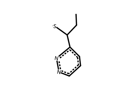 CCC([S])c1cccnn1